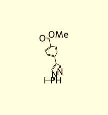 COC(=O)c1ccc(-c2cnn(PI)c2)cc1